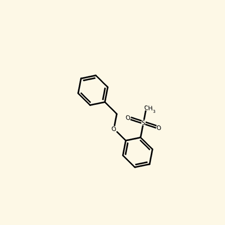 CS(=O)(=O)c1ccccc1OCc1ccccc1